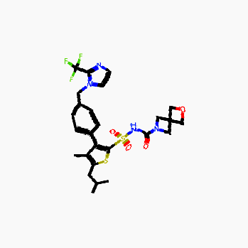 Cc1c(CC(C)C)sc(S(=O)(=O)NC(=O)N2CC3(COC3)C2)c1-c1ccc(Cn2ccnc2C(F)(F)F)cc1